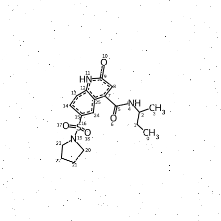 CCC(C)NC(=O)c1cc(=O)[nH]c2ccc(S(=O)(=O)N3CCCC3)cc12